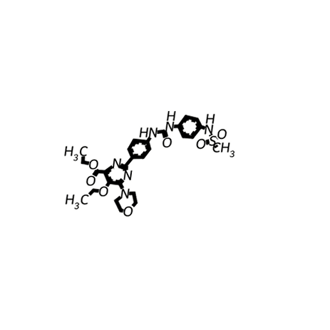 CCOC(=O)c1nc(-c2ccc(NC(=O)Nc3ccc(NS(C)(=O)=O)cc3)cc2)nc(N2CCOCC2)c1OCC